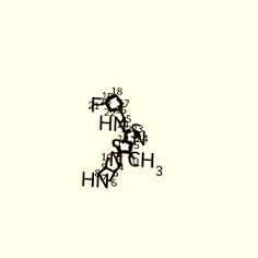 Cc1c(N2CC3CNCC3C2)sc2c(NCc3cccc(F)c3)snc12